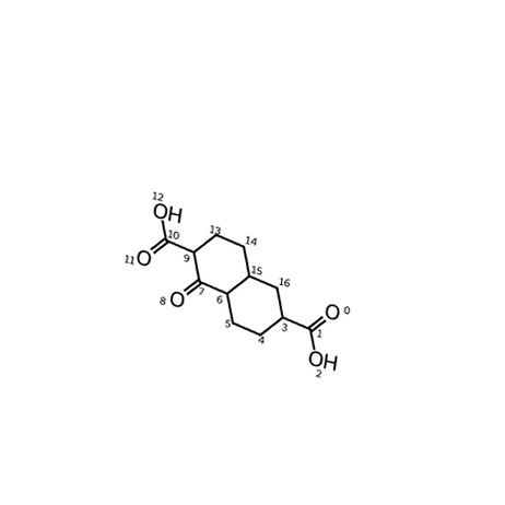 O=C(O)C1CCC2C(=O)C(C(=O)O)CCC2C1